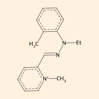 CCN(N=Cc1cccc[n+]1C)c1ccccc1C